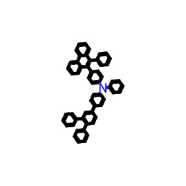 c1ccc(-c2ccc(-c3ccc(N(c4ccccc4)c4ccc(-c5c(-c6ccccc6)c6ccccc6c6ccccc56)cc4)cc3)cc2-c2ccccc2)cc1